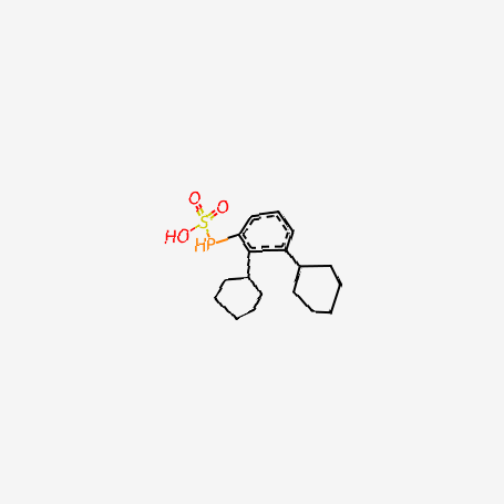 O=S(=O)(O)Pc1cccc(C2CCCCC2)c1C1CCCCC1